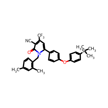 Cc1ccc(Cn2c(-c3ccc(Oc4ccc([Si](C)(C)C)cc4)cc3)cc(C(F)(F)F)c(C#N)c2=O)c(C)c1